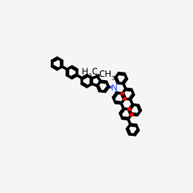 CC1(C)c2cc(-c3ccc(-c4ccccc4)cc3)ccc2-c2ccc(N(c3ccc(-c4ccc(-c5ccccc5)cc4)cc3)c3ccccc3-c3ccc(-c4ccccc4)cc3)cc21